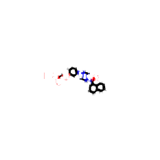 O=C(O)COc1cccc(N2CCN(C(=O)c3cccc4ccccc34)CC2)c1